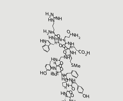 CC[C@H](C)[C@H](NC(=O)[C@H](Cc1ccc(O)cc1)NC(=O)CNC(=O)[C@H](CCSC)NC(=O)[C@H](CCC(=O)O)NC(=O)[C@H](CCC(N)=O)NC(=O)[C@H](Cc1c[nH]c2ccccc12)NC(=O)[C@@H](N)CCCNC(=N)N)C(=O)N[C@@H](Cc1ccccc1)C(=O)N[C@@H](Cc1ccc(O)cc1)C(=O)N1CCC[C@H]1C(=O)N[C@@H](CC(C)C)C(N)=O